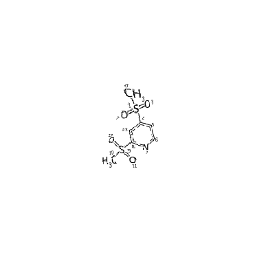 CS(=O)(=O)c1ccnc(S(C)(=O)=O)c1